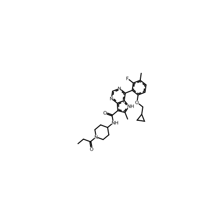 CCC(=O)N1CCC(NC(=O)c2c(C)[nH]c3c(-c4c(OCC5CC5)ccc(C)c4F)ncnc23)CC1